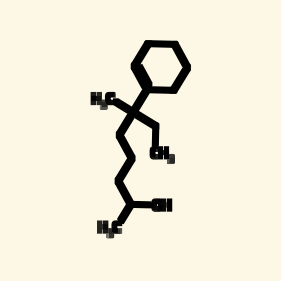 CCC(C)(CCCC(C)O)C1=CCCCC1